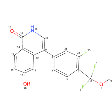 COC(F)(F)c1ccc(-c2c[nH]c(=O)c3ccc(O)cc23)cc1F